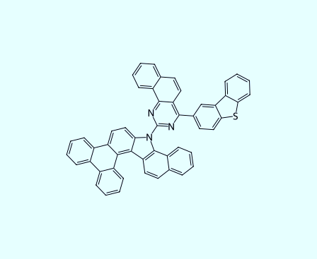 c1ccc2c(c1)ccc1c(-c3ccc4sc5ccccc5c4c3)nc(-n3c4ccc5c6ccccc6c6ccccc6c5c4c4ccc5ccccc5c43)nc12